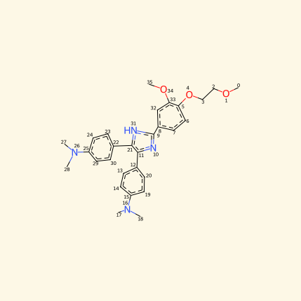 COCCOc1ccc(-c2nc(-c3ccc(N(C)C)cc3)c(-c3ccc(N(C)C)cc3)[nH]2)cc1OC